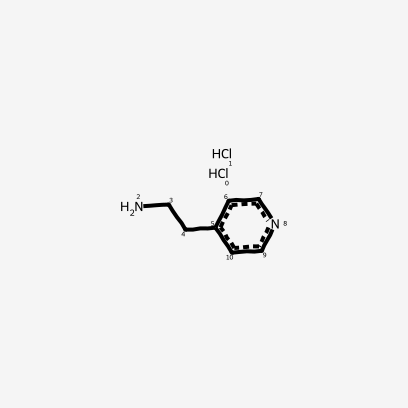 Cl.Cl.NCCc1ccncc1